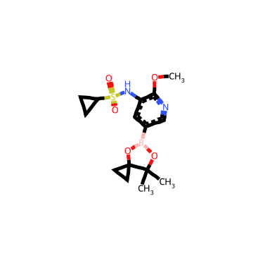 COc1ncc(B2OC(C)(C)C3(CC3)O2)cc1NS(=O)(=O)C1CC1